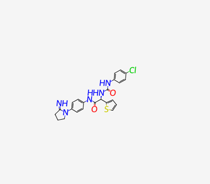 N=C1CCCN1c1ccc(NC(=O)[C@@H](NC(=O)Nc2ccc(Cl)cc2)c2cccs2)cc1